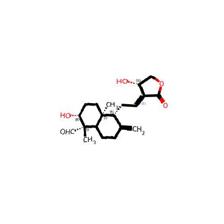 C=C1CCC2[C@](C)(C=O)[C@H](O)CC[C@@]2(C)[C@@H]1C/C=C1/C(=O)OC[C@H]1O